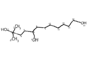 CC(C)(O)CCC(O)CCCCCCCO